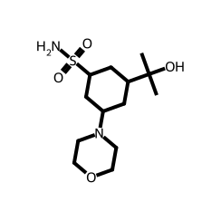 CC(C)(O)C1CC(N2CCOCC2)CC(S(N)(=O)=O)C1